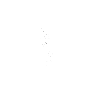 Cc1nn(-c2cnn(-c3c(C(F)(F)F)c(C(F)(F)C(F)(F)F)nn3C)c2)cc1C(=O)NC1CC1